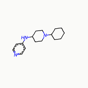 c1cc(NC2CCN([C]3CCCCC3)CC2)ccn1